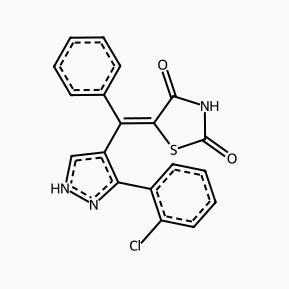 O=C1NC(=O)C(=C(c2ccccc2)c2c[nH]nc2-c2ccccc2Cl)S1